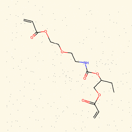 C=CC(=O)OCCOCCNC(=O)OC(CC)COC(=O)C=C